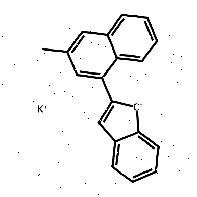 Cc1cc(-c2cc3ccccc3[cH-]2)c2ccccc2c1.[K+]